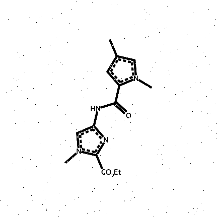 CCOC(=O)c1nc(NC(=O)c2cc(C)cn2C)cn1C